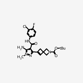 Cn1nc(C2=CC3(C2)CN(C(=O)OC(C)(C)C)C3)c(C(=O)Nc2ccc(F)c(Cl)c2)c1N